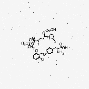 CC(C)(C)OC(=O)NCCC(=O)N1CC(=S)C[C@H]1C(=O)O.N[C@@H](Cc1ccc(OCc2c(Cl)cccc2Cl)cc1)C(=O)O